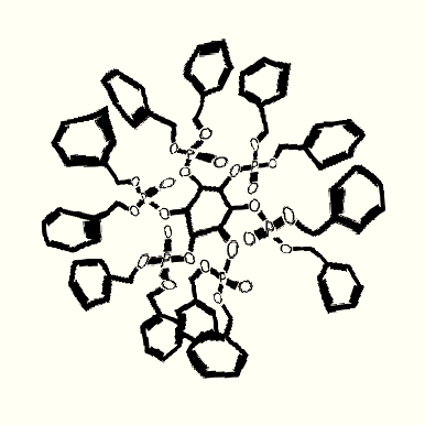 O=P(OCc1ccccc1)(OCc1ccccc1)OC1C(OP(=O)(OCc2ccccc2)OCc2ccccc2)C(OP(=O)(OCc2ccccc2)OCc2ccccc2)C(OP(=O)(OCc2ccccc2)OCc2ccccc2)C(OP(=O)(OCc2ccccc2)OCc2ccccc2)C1OP(=O)(OCc1ccccc1)OCc1ccccc1